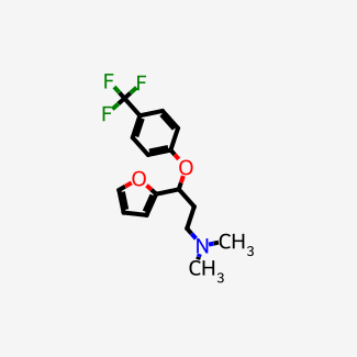 CN(C)CCC(Oc1ccc(C(F)(F)F)cc1)c1ccco1